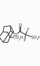 O=C(O)C12CC3CC(C1)C(OC(=O)C(F)(F)S(=O)(=O)O)C(C3)C2